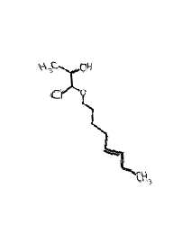 CCC=CCCCCOC(Cl)C(C)O